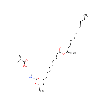 C=C(C)C(=O)OCCCNC(=O)OC(CCCCCC)CCCCCCCCCCC(=O)OC(CCCCCC)CCCCCCCCCCC(=O)O